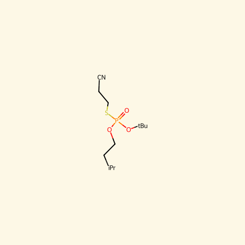 CC(C)CCOP(=O)(OC(C)(C)C)SCCC#N